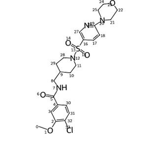 COc1cc(C(=O)NCC2CCN(S(=O)(=O)c3ccc(N4CCOCC4)nc3)CC2)ccc1Cl